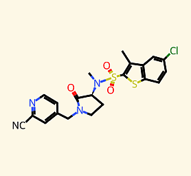 Cc1c(S(=O)(=O)N(C)[C@H]2CCN(Cc3ccnc(C#N)c3)C2=O)sc2ccc(Cl)cc12